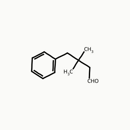 CC(C)(CC=O)Cc1ccccc1